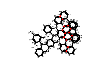 CC(C)c1cc(C(C)C)c(B2c3ccccc3Oc3cc4c(cc32)B2c3ccccc3N3c5ccccc5B(c5c(-c6ccccc6)cccc5-c5ccccc5)c5c3c2c2c(c5-n3c5ccccc5c5ccccc53)B(c3c(-c5ccccc5)cccc3-c3ccccc3)c3ccccc3N42)c(C(C)C)c1